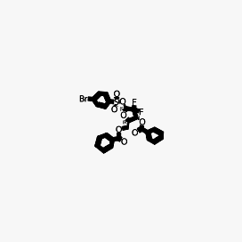 O=C(OC[C@H]1O[C@@H](OS(=O)(=O)c2ccc(Br)cc2)C(F)(F)[C@@H]1OC(=O)c1ccccc1)c1ccccc1